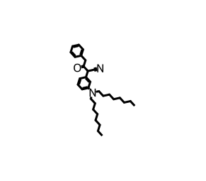 CCCCCCCCN(CCCCCCCC)c1cccc(C(C#N)C(=O)Cc2ccccc2)c1